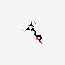 CCCc1ccc(/C=C/c2nc(C(Cl)(Cl)Cl)nc(C(Cl)(Cl)Cl)n2)o1